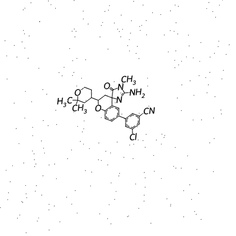 CN1C(=O)C2(CC(C3CCOC(C)(C)C3)Oc3ccc(-c4cc(Cl)cc(C#N)c4)cc32)N=C1N